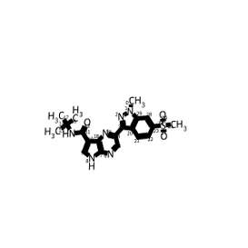 Cn1nc(-c2cnc3[nH]cc(C(=O)NC(C)(C)C)c3n2)c2ccc(S(C)(=O)=O)cc21